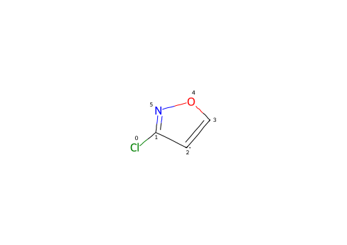 Clc1[c]con1